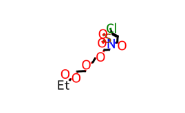 CCC(=O)OCCOCCOCCN1C(=O)C=C(Cl)S1(=O)=O